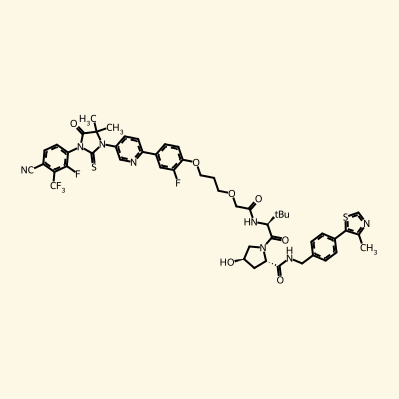 Cc1ncsc1-c1ccc(CNC(=O)[C@@H]2C[C@@H](O)CN2C(=O)[C@@H](NC(=O)COCCCOc2ccc(-c3ccc(N4C(=S)N(c5ccc(C#N)c(C(F)(F)F)c5F)C(=O)C4(C)C)cn3)cc2F)C(C)(C)C)cc1